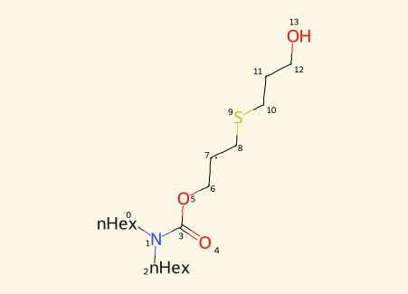 CCCCCCN(CCCCCC)C(=O)OC[CH]CSCCCO